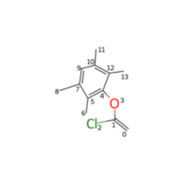 C=C(Cl)Oc1c(C)c(C)cc(C)c1C